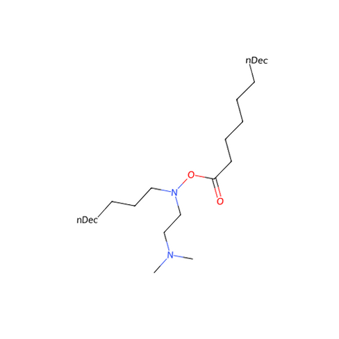 CCCCCCCCCCCCCCCC(=O)ON(CCCCCCCCCCCCC)CCN(C)C